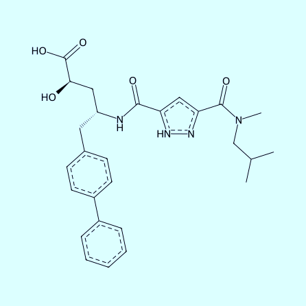 CC(C)CN(C)C(=O)c1cc(C(=O)N[C@H](Cc2ccc(-c3ccccc3)cc2)C[C@@H](O)C(=O)O)[nH]n1